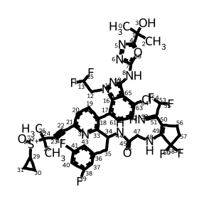 CC(C)(O)c1nnc(Nc2nn(CC(F)F)c3c(-c4ccc(C#CC(C)(C)[S+]([O-])C5CC5)nc4C(Cc4cc(F)cc(F)c4)NC(=O)CNC4=C(C(=N)C(F)F)CCC4(F)F)ccc(Cl)c23)o1